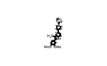 COc1ccc(-c2[nH]c3ccc(C4=CCN(C(=O)OC(C)(C)C)CC4)nc3c2C)cc1OC